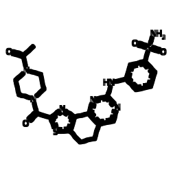 CC(=O)N1CCN(C(=O)c2nc3c(s2)CCc2cnc(Nc4cccc(S(N)(=O)=O)c4)nc2-3)CC1